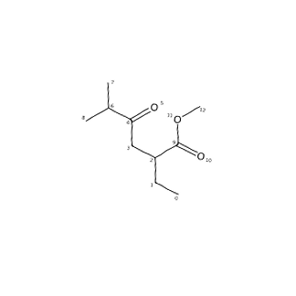 CCC(CC(=O)C(C)C)C(=O)OC